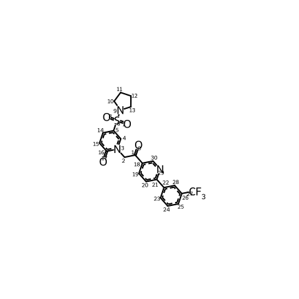 O=C(Cn1cc(S(=O)(=O)N2CCCC2)ccc1=O)c1ccc(-c2cccc(C(F)(F)F)c2)nc1